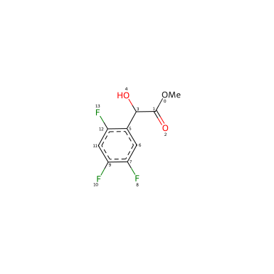 COC(=O)C(O)c1cc(F)c(F)cc1F